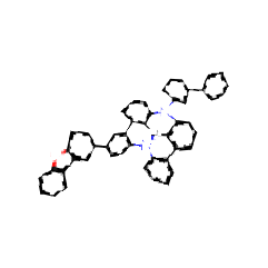 c1ccc(-c2cccc(N3c4cccc5c4B4c6c(cccc63)-c3cc(-c6ccc7oc8ccccc8c7c6)ccc3N4c3ccccc3-5)c2)cc1